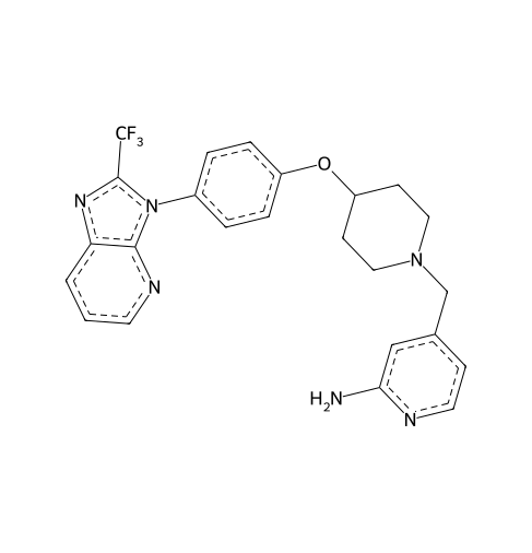 Nc1cc(CN2CCC(Oc3ccc(-n4c(C(F)(F)F)nc5cccnc54)cc3)CC2)ccn1